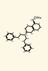 CON=C1CCCC2=C1CCC(N(CCc1ccccc1)CCc1ccccc1)C2